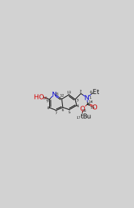 CCN(Cc1ccc2ccc(O)nc2c1)C(=O)OC(C)(C)C